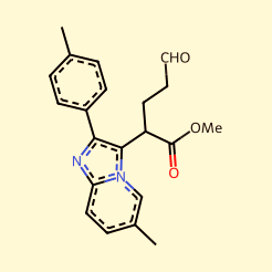 COC(=O)C(CCC=O)c1c(-c2ccc(C)cc2)nc2ccc(C)cn12